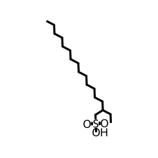 CCCCCCCCCCCCCCC(CC)CS(=O)(=O)O